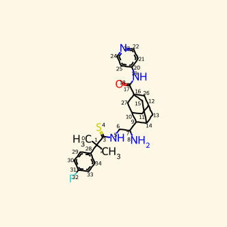 CC(C)(C(=S)NCC(N)C1C2CC3CC1CC(C(=O)Nc1ccncc1)(C3)C2)c1ccc(F)cc1